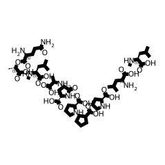 CC(C)C[C@H](N)C(=O)O.CC(N)C(=O)O.CN[C@@H](CC(C)C)C(=O)O.CN[C@@H](CC(C)C)C(=O)O.C[C@H](OC(=O)[C@@H](N)CCC(N)=O)C(=O)O.O=C(O)C1CCCC1.O=C(O)[C@@H]1CCCN1.O=C(O)[C@@H]1CCCN1.O=C1CC[C@@H](C(=O)O)N1